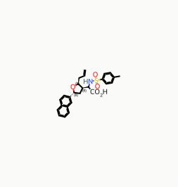 C=CC[C@@H]1O[C@@H](c2ccc3ccccc3c2)C[C@@H]1C(NS(=O)(=O)c1ccc(C)cc1)C(=O)O